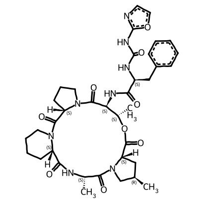 C[C@@H]1C[C@H]2C(=O)O[C@@H](C)[C@H](NC(=O)[C@H](Cc3ccccc3)NC(=O)Nc3ncco3)C(=O)N3CCC[C@H]3C(=O)N3CCCC[C@H]3C(=O)N[C@@H](C)C(=O)N2C1